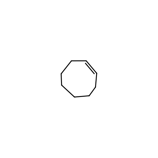 C1=CCCCCCC1